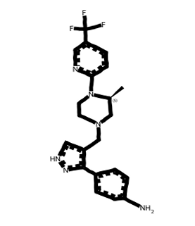 C[C@H]1CN(Cc2c[nH]nc2-c2ccc(N)cc2)CCN1c1ccc(C(F)(F)F)cn1